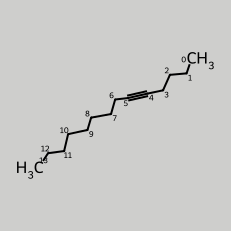 CCCCC#CCCCCCCCC